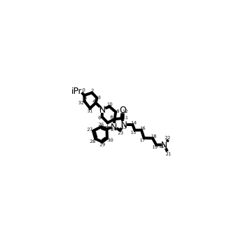 CC(C)C1CCC(N2CCC3(CC2)C(=O)N(CCCCCCN(C)C)CN3c2ccccc2)CC1